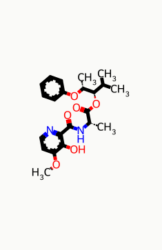 COc1ccnc(C(=O)N[C@@H](C)C(=O)O[C@@H](C(C)C)[C@@H](C)Oc2ccccc2)c1O